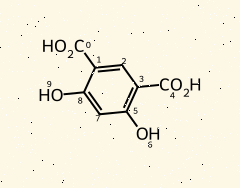 O=C(O)c1cc(C(=O)O)c(O)cc1O